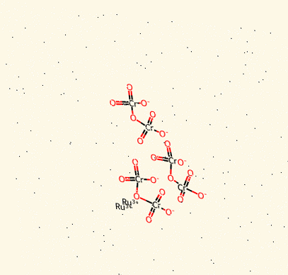 [O]=[Cr](=[O])([O-])[O][Cr](=[O])(=[O])[O-].[O]=[Cr](=[O])([O-])[O][Cr](=[O])(=[O])[O-].[O]=[Cr](=[O])([O-])[O][Cr](=[O])(=[O])[O-].[Ru+3].[Ru+3]